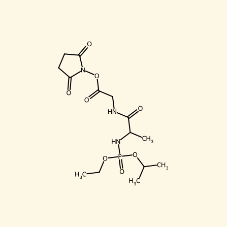 CCOP(=O)(NC(C)C(=O)NCC(=O)ON1C(=O)CCC1=O)OC(C)C